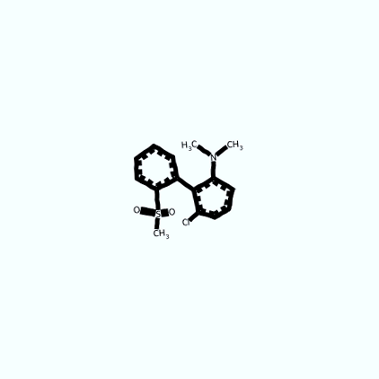 CN(C)c1[c]ccc(Cl)c1-c1ccccc1S(C)(=O)=O